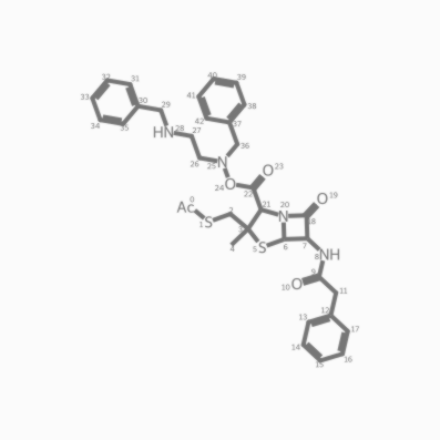 CC(=O)SCC1(C)SC2C(NC(=O)Cc3ccccc3)C(=O)N2C1C(=O)ON(CCNCc1ccccc1)Cc1ccccc1